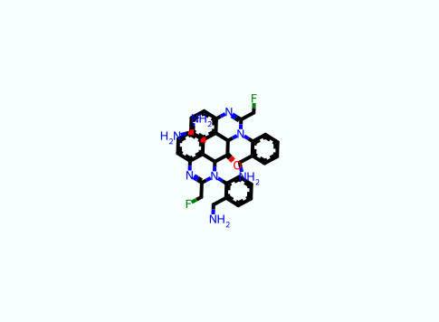 NCc1ccccc1N1C(CF)=Nc2ccc(N)cc2C1C(=O)C1c2cc(N)ccc2N=C(CF)N1c1ccccc1CN